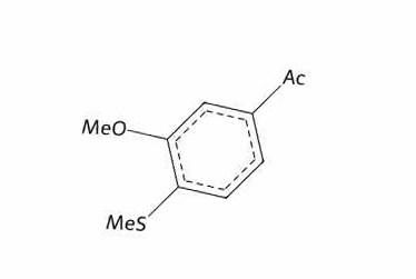 COc1cc(C(C)=O)ccc1SC